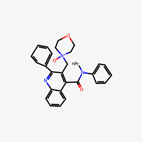 CCCN(C(=O)c1c(C[N+]2([O-])CCOCC2)c(-c2ccccc2)nc2ccccc12)c1ccccc1